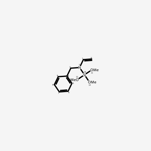 C=CN(Cc1ccccc1)[Si](OC)(OC)OC